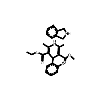 CCOC(=O)C1=C(C)NC(C)=C(C(=O)OC)C1c1ccccc1Br.c1ccc2c(c1)CNC2